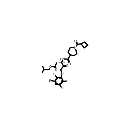 CC(C)COC(=O)C[C@H](NC(=O)C1CCN(C(=O)C2CCC2)CC1)C(=O)COc1c(F)c(F)cc(F)c1F